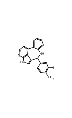 Cc1ccc(C2Nc3ccccc3-c3ccnc4[nH]cc2c34)cc1I